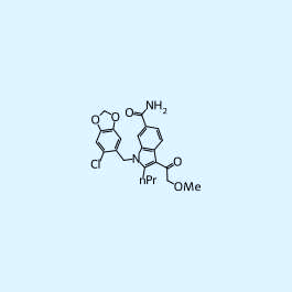 CCCc1c(C(=O)COC)c2ccc(C(N)=O)cc2n1Cc1cc2c(cc1Cl)OCO2